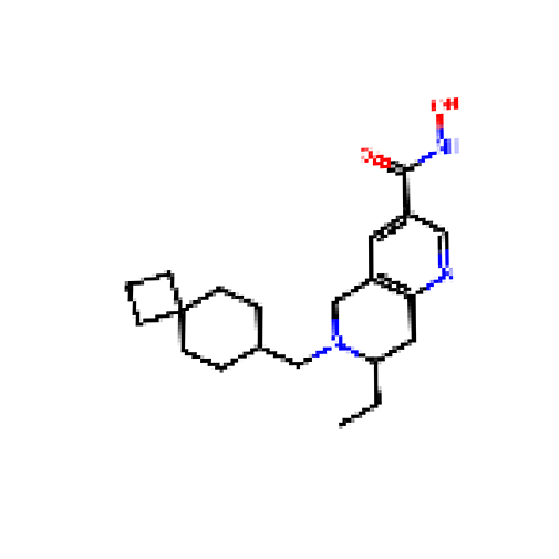 CC[C@@H]1Cc2ncc(C(=O)NO)cc2CN1CC1CCC2(CCC2)CC1